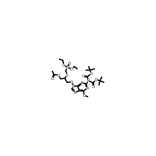 CCOP(=O)(CSC(COC(C)=O)COn1cnc2c(OC)nc(N(C(=O)OC(C)(C)C)C(=O)OC(C)(C)C)nc21)OCC